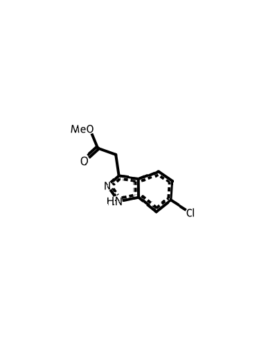 COC(=O)Cc1n[nH]c2cc(Cl)ccc12